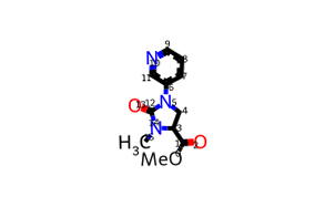 COC(=O)C1CN(c2cccnc2)C(=O)N1C